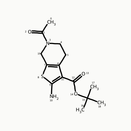 CC(=O)N1CCc2c(sc(N)c2C(=O)OC(C)(C)C)C1